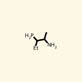 CCC(P)C(C)N